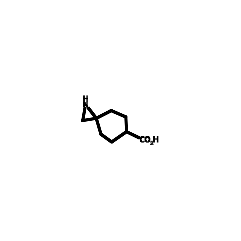 O=C(O)C1CCC2(CC1)CN2